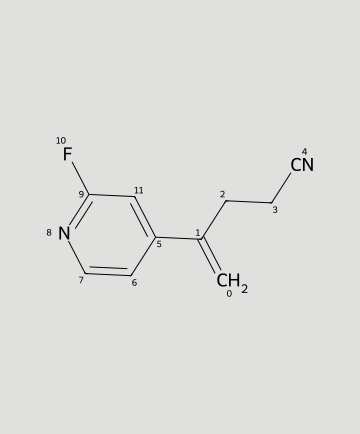 C=C(CCC#N)c1ccnc(F)c1